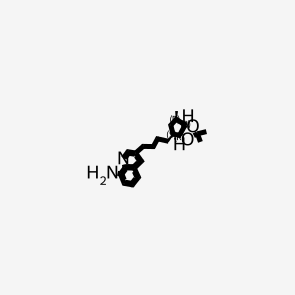 C[C@@H]1C[C@H](CCCCc2cnc3c(N)cccc3c2)[C@H]2OC(C)(C)O[C@H]21